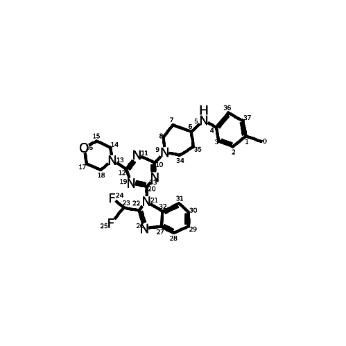 Cc1ccc(NC2CCN(c3nc(N4CCOCC4)nc(-n4c(C(F)F)nc5ccccc54)n3)CC2)cc1